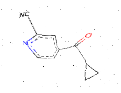 N#Cc1cc(C(=O)C2CC2)ccn1